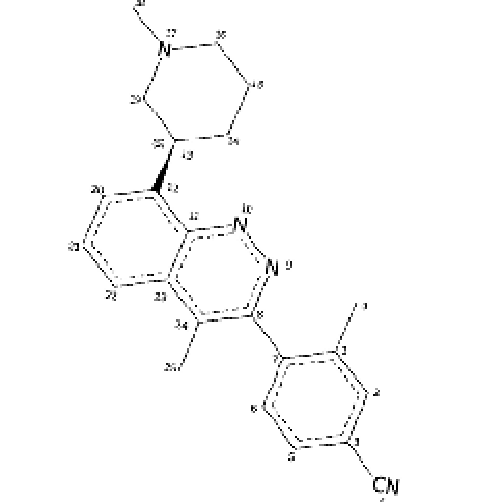 Cc1cc(C#N)ccc1-c1nnc2c([C@@H]3CCCN(C)C3)cccc2c1C